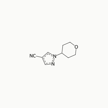 N#Cc1cnn(C2CCOCC2)c1